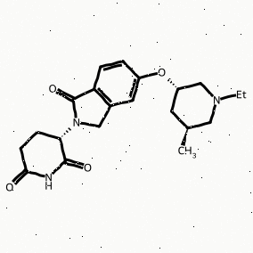 CCN1C[C@@H](C)C[C@H](Oc2ccc3c(c2)CN([C@H]2CCC(=O)NC2=O)C3=O)C1